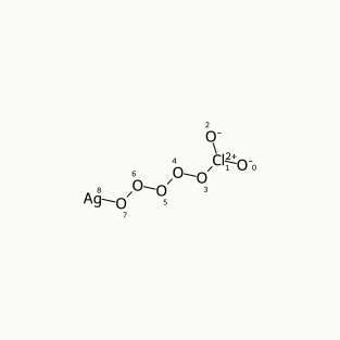 [O-][Cl+2]([O-])OOOO[O][Ag]